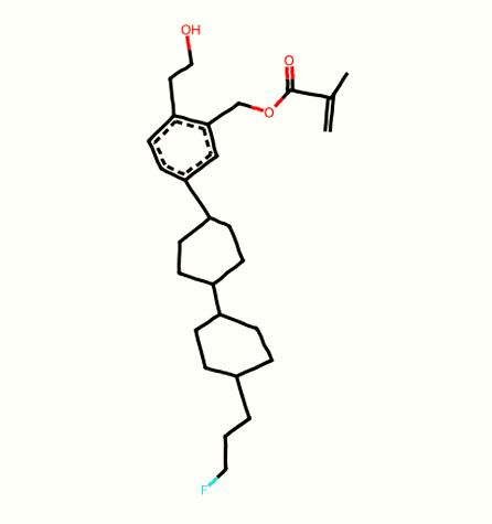 C=C(C)C(=O)OCc1cc(C2CCC(C3CCC(CCCF)CC3)CC2)ccc1CCO